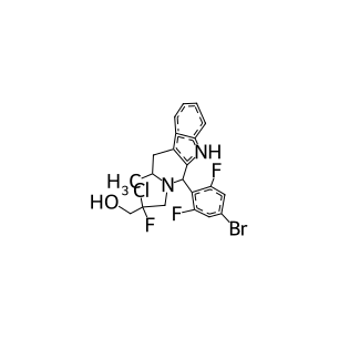 CC1Cc2c([nH]c3ccccc23)C(c2c(F)cc(Br)cc2F)N1CC(F)(Cl)CO